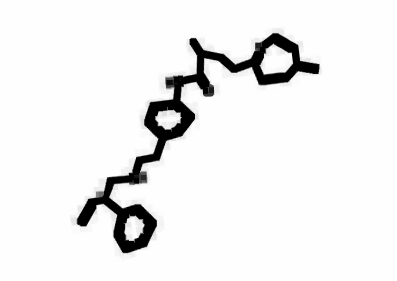 C=C[C@@H](CNCCc1ccc(NC(=O)C(C)CCC2=NC=CC(=C)C=C2)cc1)c1ccccc1